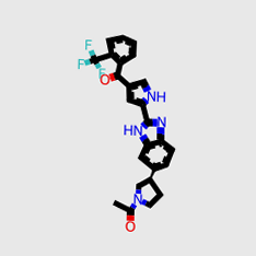 CC(=O)N1CC[C@H](c2ccc3nc(-c4cc(C(=O)c5ccccc5C(F)(F)F)c[nH]4)[nH]c3c2)C1